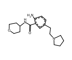 Nc1ccc(CCN2CCCC2)cc1C(=O)NC1CCOCC1